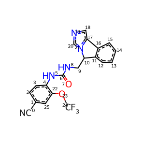 N#Cc1ccc(NC(=O)NCC2c3ccccc3-c3cncn32)c(OC(F)(F)F)c1